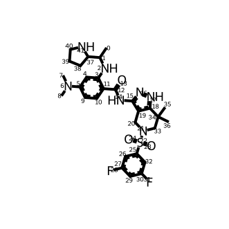 CC(Nc1cc(N(C)C)ccc1C(=O)Nc1n[nH]c2c1CN(S(=O)(=O)c1cc(F)cc(F)c1)CC2(C)C)C1CCCN1